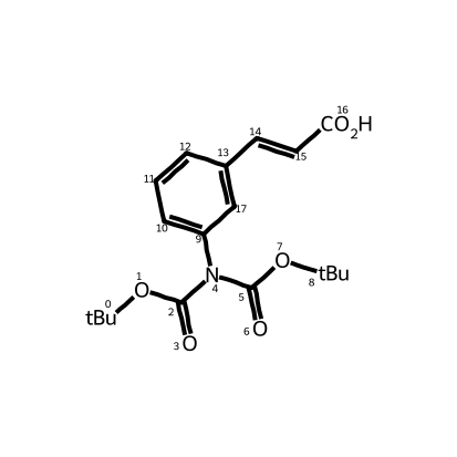 CC(C)(C)OC(=O)N(C(=O)OC(C)(C)C)c1cccc(C=CC(=O)O)c1